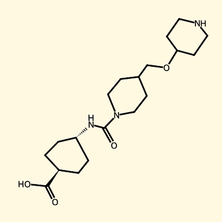 O=C(N[C@H]1CC[C@H](C(=O)O)CC1)N1CCC(COC2CCNCC2)CC1